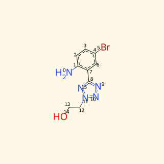 Nc1ccc(Br)cc1-c1nnn(CCO)n1